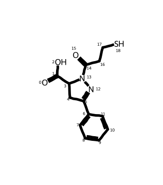 O=C(O)C1CC(c2ccccc2)=NN1C(=O)CCS